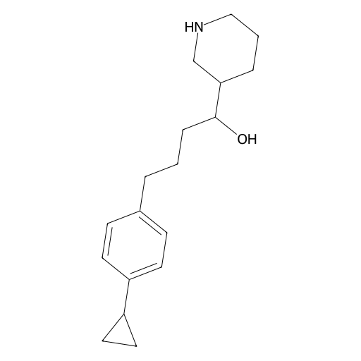 OC(CCCc1ccc(C2CC2)cc1)C1CCCNC1